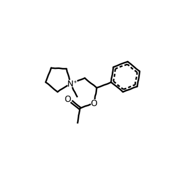 CC(=O)OC(C[N+]1(C)CCCC1)c1ccccc1